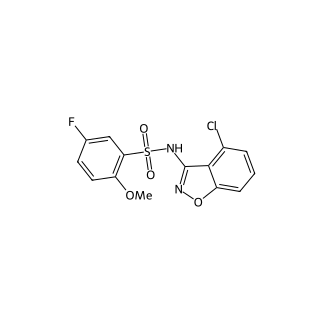 COc1ccc(F)cc1S(=O)(=O)Nc1noc2cccc(Cl)c12